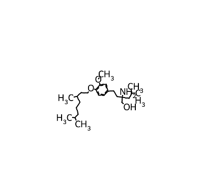 COc1cc(CCC(N)(CO)CC(C)C)ccc1OCCC(C)CCCC(C)C